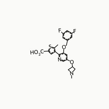 Cc1sc(C(=O)O)cc1-c1ncc(OC2CN(C)C2)cc1OCc1cc(F)cc(F)c1